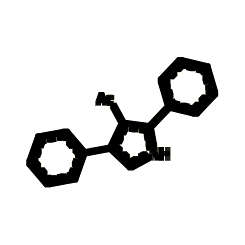 CC(=O)c1c(-c2ccccc2)c[nH]c1-c1ccccc1